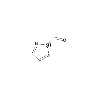 O=C[SH]1N=CC=N1